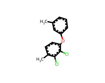 Cc1cccc(Oc2ccc(C)c(Cl)c2Cl)c1